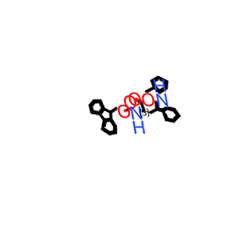 O=C(N[C@@H](Cc1c[nH]c2ccccc12)C(=O)OCc1ccccc1)OCC1c2ccccc2-c2ccccc21